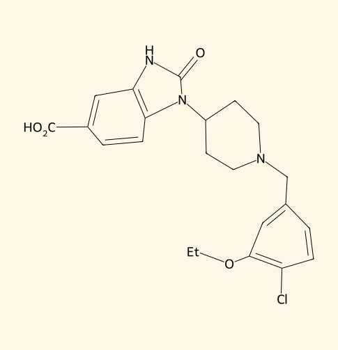 CCOc1cc(CN2CCC(n3c(=O)[nH]c4cc(C(=O)O)ccc43)CC2)ccc1Cl